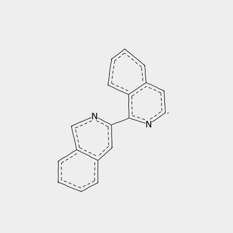 [c]1cc2ccccc2c(-c2cc3ccccc3cn2)n1